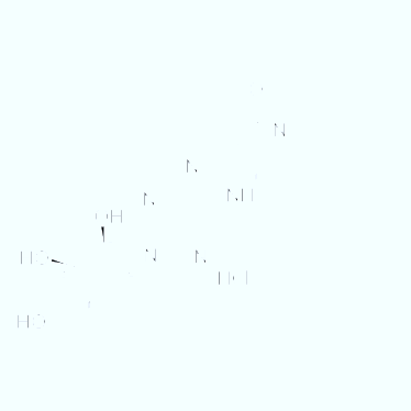 Cl.O=C1C[C@@H](Nc2ncnc3c2ncn3[C@@H]2C[C@H](CO)[C@@H](O)[C@H]2O)CN1Cc1ccccc1